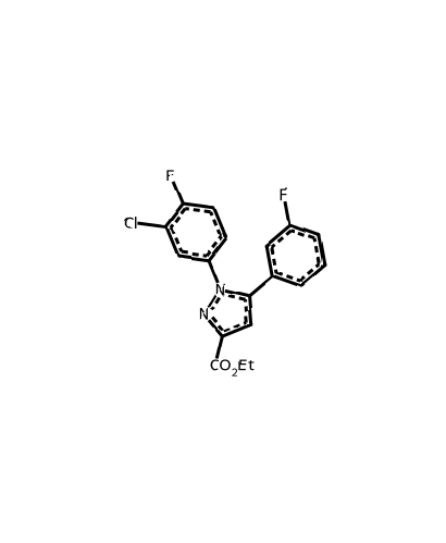 CCOC(=O)c1cc(-c2cccc(F)c2)n(-c2ccc(F)c(Cl)c2)n1